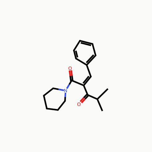 CC(C)C(=O)C(=Cc1ccccc1)C(=O)N1CCCCC1